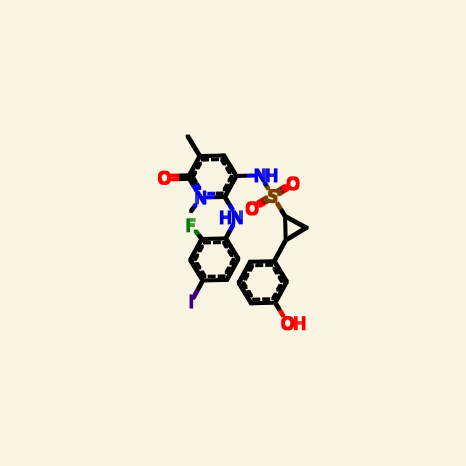 Cc1cc(NS(=O)(=O)C2CC2c2cccc(O)c2)c(Nc2ccc(I)cc2F)n(C)c1=O